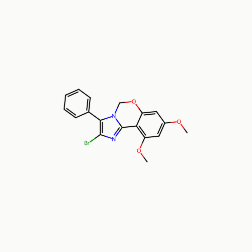 COc1cc(OC)c2c(c1)OCn1c-2nc(Br)c1-c1ccccc1